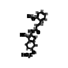 CCOC(=O)OC1CCc2c(sc(NC(=O)/C=C/c3ccccc3OCC)c2C#N)C1